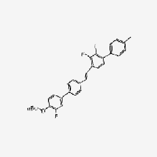 CCCCOc1ccc(-c2ccc(/C=C/c3ccc(-c4ccc(C)cc4)c(F)c3F)cc2)cc1F